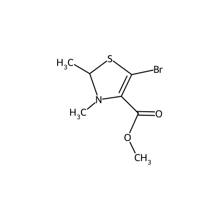 COC(=O)C1=C(Br)SC(C)N1C